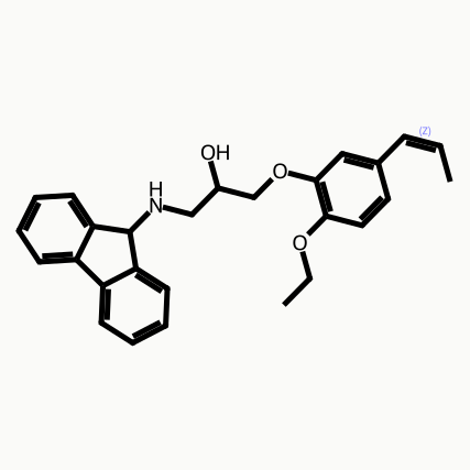 C/C=C\c1ccc(OCC)c(OCC(O)CNC2c3ccccc3-c3ccccc32)c1